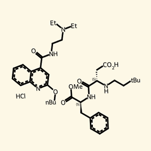 CCCCOc1cc(C(=O)NCCN(CC)CC)c2ccccc2n1.COC(=O)[C@H](Cc1ccccc1)NC(=O)[C@H](CC(=O)O)NCCC(C)(C)C.Cl